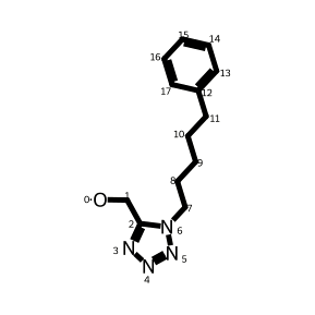 [O]Cc1nnnn1CCCCCc1ccccc1